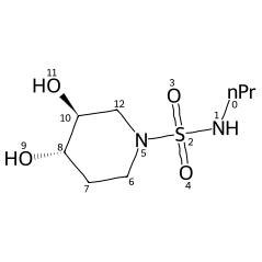 CCCNS(=O)(=O)N1CC[C@H](O)[C@@H](O)C1